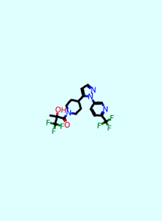 CC(O)(C(=O)N1CCC(c2ccnn2-c2ccc(C(F)(F)F)nc2)CC1)C(F)(F)F